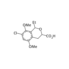 CCC1OC(C(=O)O)Cc2c(OC)cc(Cl)c(OC)c21